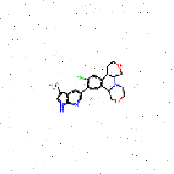 Cc1c[nH]c2ncc(-c3cc(C4COCCN4)c(C4CCOCC4)cc3Cl)cc12